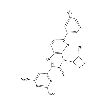 COc1cc(NC(=O)N(c2nc(-c3cccc(C(F)(F)F)c3)ccc2N)C2CC[C@H]2O)nc(OC)n1